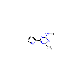 CCNc1nc(C)nc(-c2ccccn2)n1